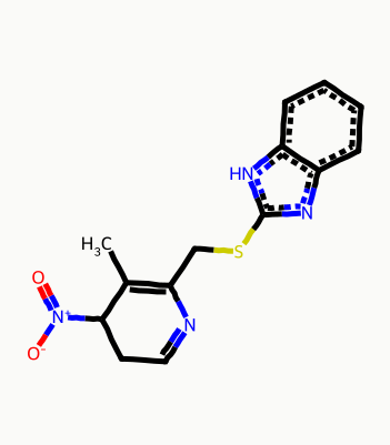 CC1=C(CSc2nc3ccccc3[nH]2)N=CCC1[N+](=O)[O-]